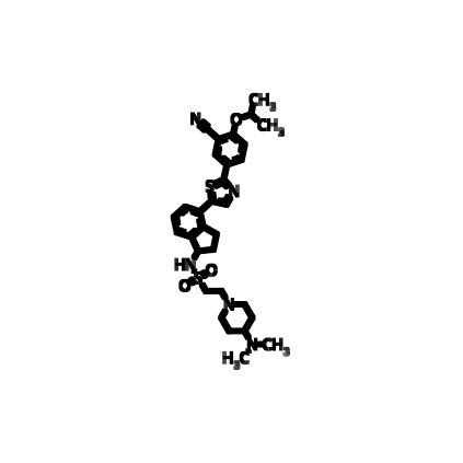 CC(C)Oc1ccc(-c2ncc(-c3cccc4c3CCC4NS(=O)(=O)CCN3CCC(N(C)C)CC3)s2)cc1C#N